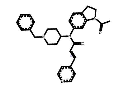 CC(=O)N1CCc2ccc(N(C(=O)/C=C/c3ccncc3)C3CCN(Cc4ccccc4)CC3)cc21